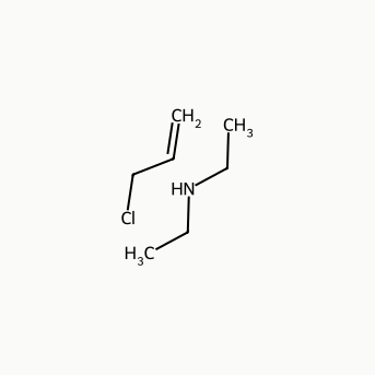 C=CCCl.CCNCC